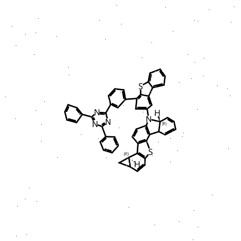 C1=CC2c3c(ccc4c5c(sc34)C=CC3C[C@@H]53)N(c3cc(-c4cccc(-c5nc(-c6ccccc6)nc(-c6ccccc6)n5)c4)c4sc5ccccc5c4c3)[C@@H]2C=C1